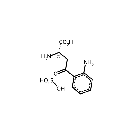 Nc1ccccc1C(=O)C[C@H](N)C(=O)O.O=S(=O)(O)O